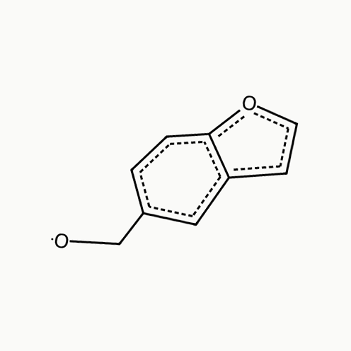 [O]Cc1ccc2occc2c1